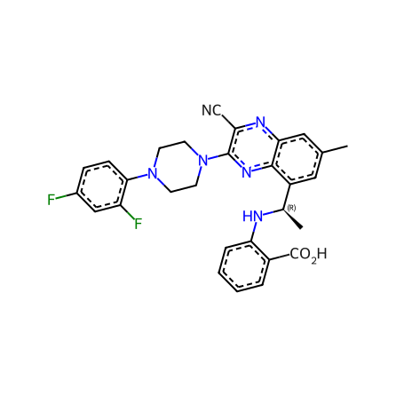 Cc1cc([C@@H](C)Nc2ccccc2C(=O)O)c2nc(N3CCN(c4ccc(F)cc4F)CC3)c(C#N)nc2c1